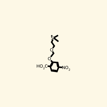 C[Si](C)(C)CCOCOc1cc([N+](=O)[O-])ccc1C(=O)O